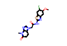 COc1cc2nc(NC(=O)Cn3cnc4c3ccc(=O)n4C)sc2cc1F